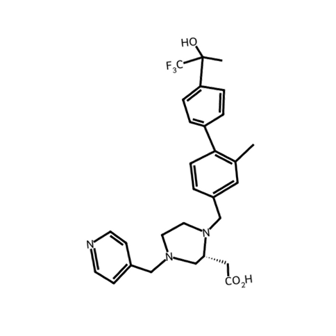 Cc1cc(CN2CCN(Cc3ccncc3)C[C@H]2CC(=O)O)ccc1-c1ccc(C(C)(O)C(F)(F)F)cc1